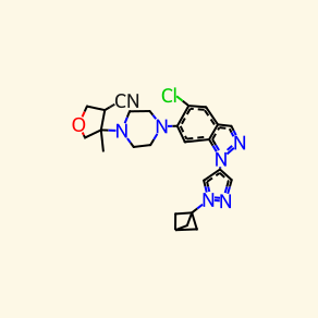 CC1(N2CCN(c3cc4c(cnn4-c4cnn(C56CC(C5)C6)c4)cc3Cl)CC2)COCC1C#N